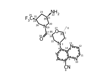 C[C@@H]1CN(c2ccc(C#N)c3nccnc23)C[C@H](C(=O)N2C[C@H](N)C[C@H](C(F)(F)F)C2)O1